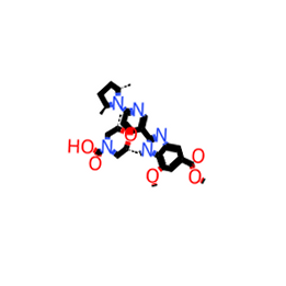 COC(=O)c1cc(OC)c2c(c1)nc(-c1ccc(N3[C@@H](C)CC[C@@H]3C)nc1)n2C[C@@H]1CN(C(=O)O)C[C@H](C)O1